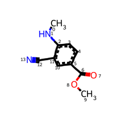 CNc1ccc(C(=O)OC)cc1C#N